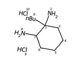 CCCCC1(N)CCCCC1N.Cl.Cl